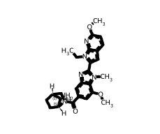 CCn1c(-c2nc3cc(C(=O)N4C[C@@H]5CC[C@H]4[C@H]5N)cc(OC)c3n2C)cc2ccc(OC)nc21